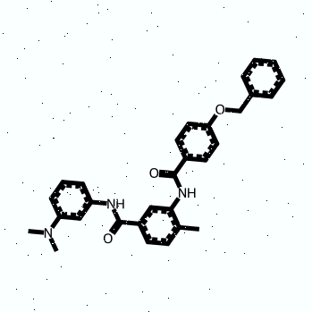 Cc1ccc(C(=O)Nc2cccc(N(C)C)c2)cc1NC(=O)c1ccc(OCc2ccccc2)cc1